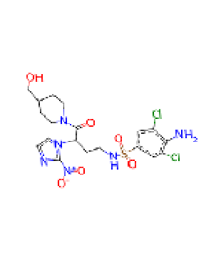 Nc1c(Cl)cc(S(=O)(=O)NCCC(C(=O)N2CCC(CO)CC2)n2ccnc2[N+](=O)[O-])cc1Cl